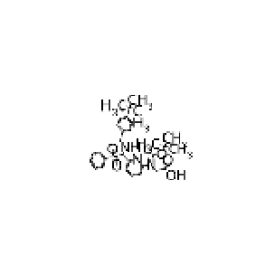 CC(C)(C)OC(=O)N(CC(=O)O)c1cccc(C(NCc2ccc(C(C)(C)C)cc2)S(=O)(=O)c2ccccc2)n1